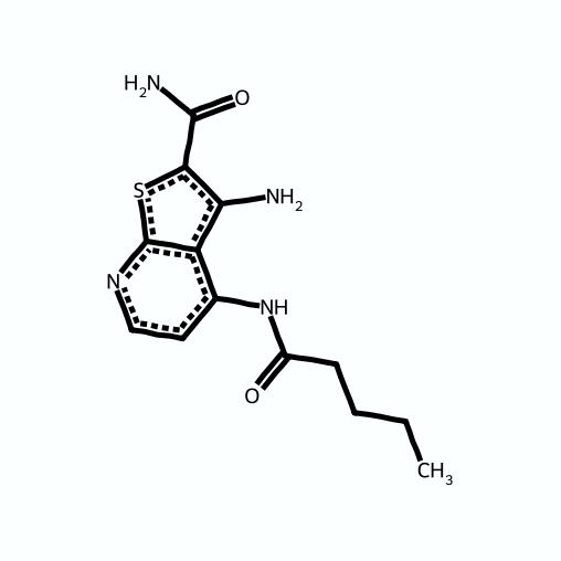 CCCCC(=O)Nc1ccnc2sc(C(N)=O)c(N)c12